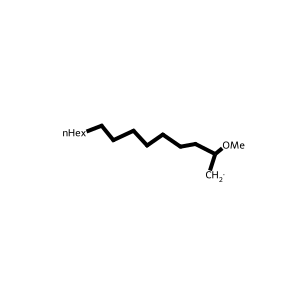 [CH2]C(CCCCCCCCCCCCC)OC